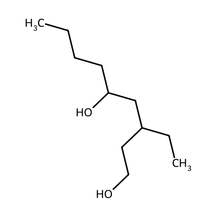 CCCCC(O)CC(CC)CCO